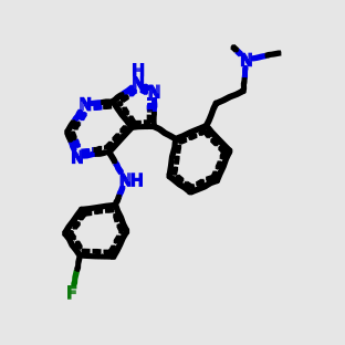 CN(C)CCc1ccccc1-c1n[nH]c2ncnc(Nc3ccc(F)cc3)c12